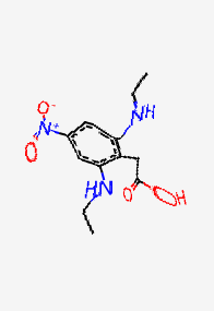 CCNc1cc([N+](=O)[O-])cc(NCC)c1CC(=O)O